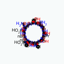 CCCC[C@H]1C(=O)N(C)[C@@H](CCCC)C(=O)N[C@@H](CCC(=O)O)C(=O)N[C@H](C(=O)NCC(N)=O)CSCC(=O)N[C@@H](Cc2ccc(O)cc2)C(=O)N(C)[C@@H](C)C(=O)N[C@@H](CC(N)=O)C(=O)N2CCCC2C(=O)N[C@@H](CO)C(=O)N[C@@H](CC(C)C)C(=O)N2C[C@H](O)C[C@H]2C(=O)N[C@@H](Cc2c[nH]c3ccccc23)C(=O)N[C@@H](CO)C(=O)NC(Cc2cn(CC(=O)O)c3ccccc23)C(=O)N1C